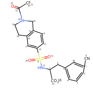 N#Cc1cccc(CC(NS(=O)(=O)c2ccc3c(c2)CCN(C(=O)C(F)(F)F)C3)C(=O)O)c1